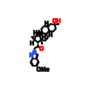 COc1ccc2nn(CC(=O)[C@H]3[C@H]4C[C@H]4[C@H]4[C@@H]5CC[C@@H]6C[C@](C)(O)CC[C@@H]6[C@H]5CC[C@@]43C)cc2c1